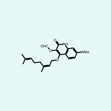 CNc1ccc2c(OCC=C(C)CCC=C(C)C)c(OC=O)c(=O)[nH]c2c1